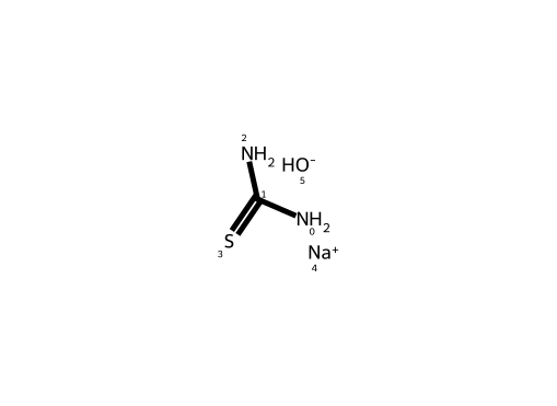 NC(N)=S.[Na+].[OH-]